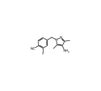 Cc1nn(Cc2ccc(C#N)c(F)c2)c(C)c1N